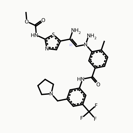 COC(=O)Nc1ncc(/C(N)=C/N(N)c2cc(C(=O)Nc3cc(CN4CCCC4)cc(C(F)(F)F)c3)ccc2C)s1